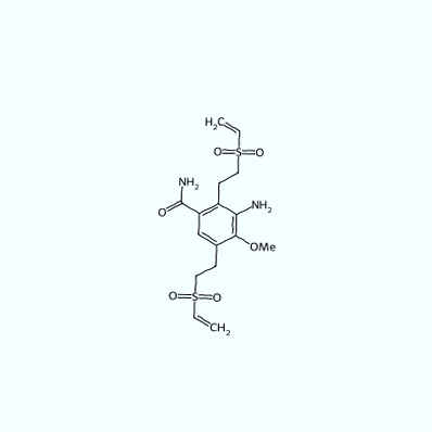 C=CS(=O)(=O)CCc1cc(C(N)=O)c(CCS(=O)(=O)C=C)c(N)c1OC